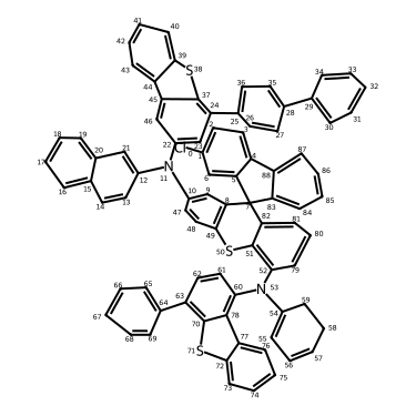 Clc1ccc2c(c1)C1(c3cc(N(c4ccc5ccccc5c4)c4cc(-c5ccc(-c6ccccc6)cc5)c5sc6ccccc6c5c4)ccc3Sc3c(N(C4=CC=CCC4)c4ccc(-c5ccccc5)c5sc6ccccc6c45)cccc31)c1ccccc1-2